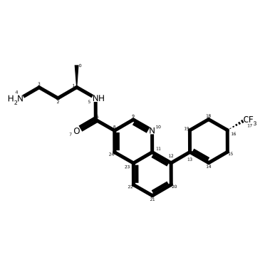 C[C@H](CCN)NC(=O)c1cnc2c(C3=CC[C@@H](C(F)(F)F)CC3)cccc2c1